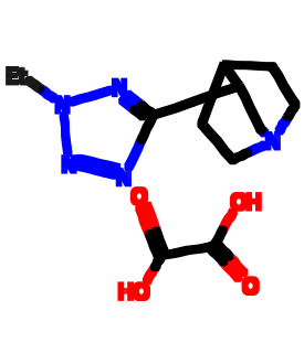 CCn1nnc(C2CN3CCC2CC3)n1.O=C(O)C(=O)O